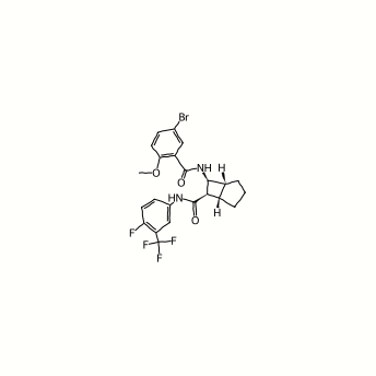 COc1ccc(Br)cc1C(=O)N[C@H]1[C@@H]2CCC[C@@H]2[C@H]1C(=O)Nc1ccc(F)c(C(F)(F)F)c1